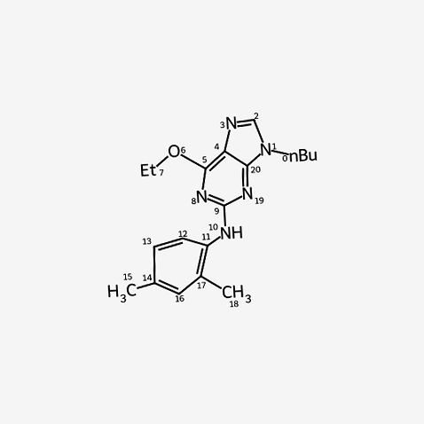 CCCCn1cnc2c(OCC)nc(Nc3ccc(C)cc3C)nc21